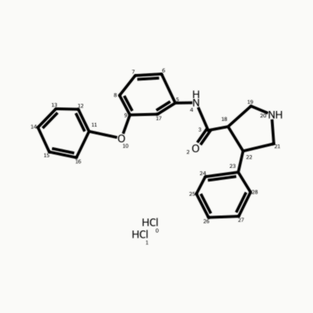 Cl.Cl.O=C(Nc1cccc(Oc2ccccc2)c1)C1CNCC1c1ccccc1